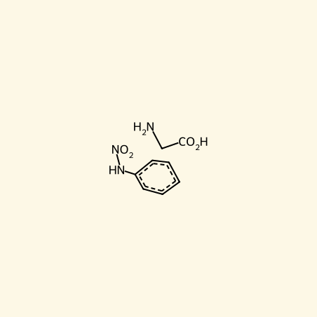 NCC(=O)O.O=[N+]([O-])Nc1ccccc1